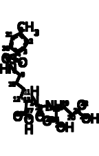 Cc1ccc(S(=O)(=O)NCCCC[C@H](NC(=O)N[C@@H](CCC(=O)O)C(=O)O)C(=O)O)cc1